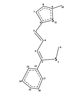 CS/C(=C\C=C\c1ccc(C)s1)c1ccccc1